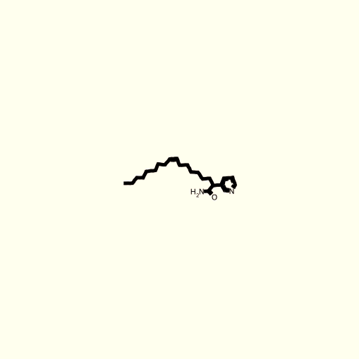 CCCCCCCC/C=C\CCCCCCC(C(N)=O)c1cccnc1